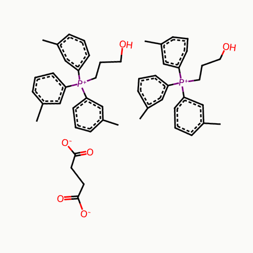 Cc1cccc([P+](CCCO)(c2cccc(C)c2)c2cccc(C)c2)c1.Cc1cccc([P+](CCCO)(c2cccc(C)c2)c2cccc(C)c2)c1.O=C([O-])CCC(=O)[O-]